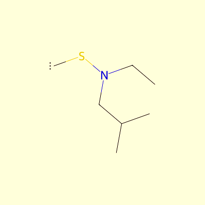 [C]SN(CC)CC(C)C